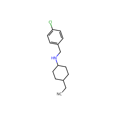 N#CCC1CCC(NCc2ccc(Cl)cc2)CC1